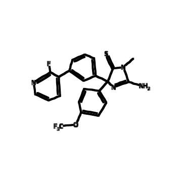 CN1C(=S)C(c2ccc(OC(F)(F)F)cc2)(c2cccc(-c3cccnc3F)c2)N=C1N